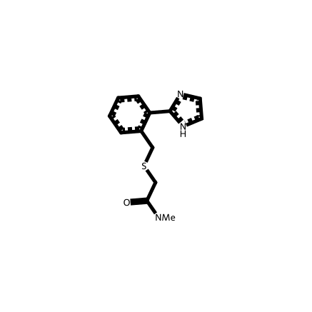 CNC(=O)CSCc1ccccc1-c1ncc[nH]1